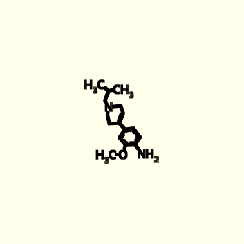 COc1cc(C2=CCN(C[C](C)C)CC2)ccc1N